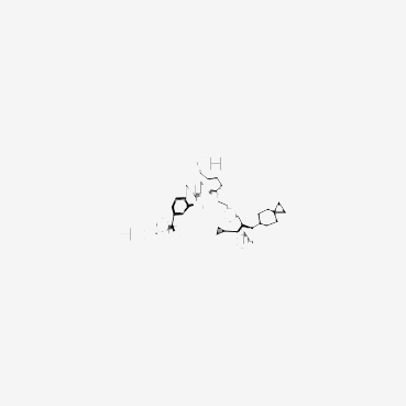 CCOC(=O)c1ccc2nc(N3C(CC)CC[C@H]3CCOCc3c(C4CCC5(CC4)CC5)noc3C3CC3)sc2c1